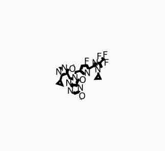 COc1cnc2nc(-c3c(OC)ncnc3C3CC3)n(Cc3cnc(-c4nc(C(F)(F)F)cn4C4CC4)c(F)c3)c(=O)c2n1